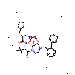 CC(C)(C)[C@H](NC(=O)[C@H](CC1CCCC1)CN(O)C=O)C(=O)N1CCN(Cc2ccccc2-c2ccccc2)CC1